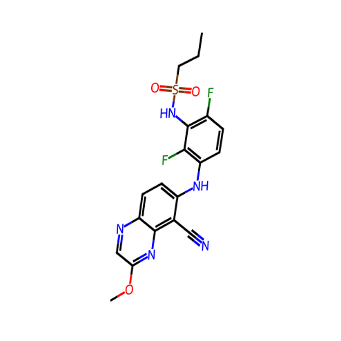 CCCS(=O)(=O)Nc1c(F)ccc(Nc2ccc3ncc(OC)nc3c2C#N)c1F